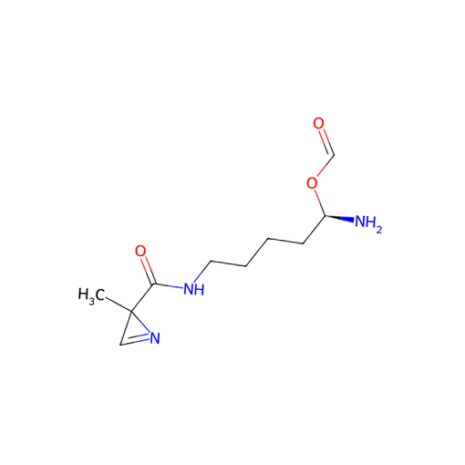 CC1(C(=O)NCCCC[C@H](N)OC=O)C=N1